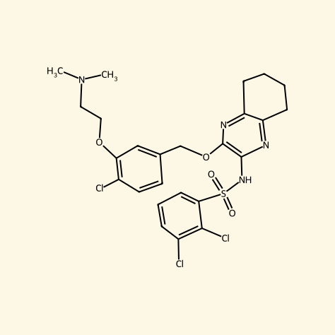 CN(C)CCOc1cc(COc2nc3c(nc2NS(=O)(=O)c2cccc(Cl)c2Cl)CCCC3)ccc1Cl